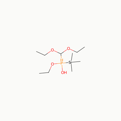 CCOC(OCC)[PH](O)(OCC)[Si](C)(C)C